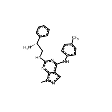 Cn1ncc2c(Nc3ccc(C(F)(F)F)cc3)nc(NC[C@H](N)c3ccccc3)nc21